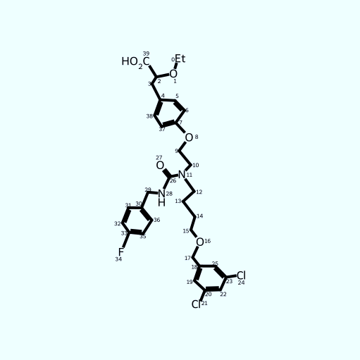 CCOC(Cc1ccc(OCCN(CCCCOCc2cc(Cl)cc(Cl)c2)C(=O)NCc2ccc(F)cc2)cc1)C(=O)O